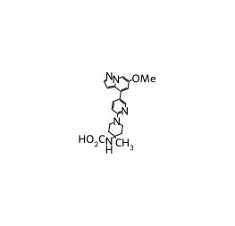 COc1cc(-c2ccc(N3CCC(C)(NC(=O)O)CC3)nc2)c2ccnn2c1